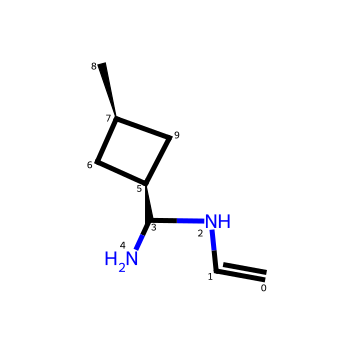 C=CNC(N)[C@H]1C[C@@H](C)C1